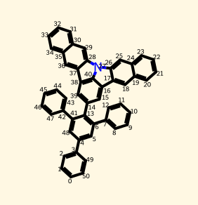 c1ccc(-c2cc(-c3ccccc3)c(-c3cc4c5cc6ccccc6cc5n5c6cc7ccccc7cc6c(c3)c45)c(-c3ccccc3)c2)cc1